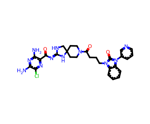 Nc1nc(N)c(C(=O)/N=C2\NCC3(CCN(C(=O)CCCn4c(=O)n(-c5cccnc5)c5ccccc54)CC3)N2)nc1Cl